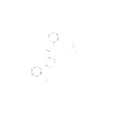 CCC1(N)CCN(c2cccnc2NC(=O)c2nc(-c3ncccc3OC)cnc2N)CC1